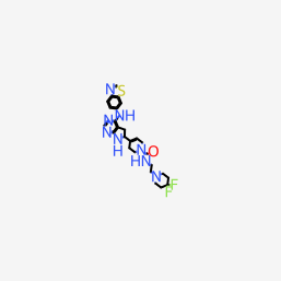 O=C(NCCN1CCC(F)(F)CC1)N1CC=C(C2Cc3c(Nc4ccc5ncsc5c4)ncnc3N2)CC1